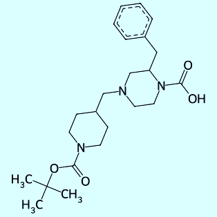 CC(C)(C)OC(=O)N1CCC(CN2CCN(C(=O)O)C(Cc3ccccc3)C2)CC1